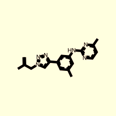 C=C(C)Cn1cc(-c2cc(C)cc(Nc3nccc(C)n3)c2)nn1